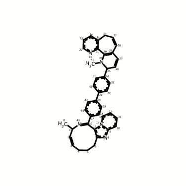 CC1/C=C\CCCc2nc3ccccn3c2/C(c2ccc(-c3ccc(C4C=CC5=C(c6ncccc6CC=C5)N4C)cc3)cc2)=N\1